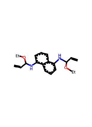 C=CC(Nc1cccc2c(NC(C=C)OCC)cccc12)OCC